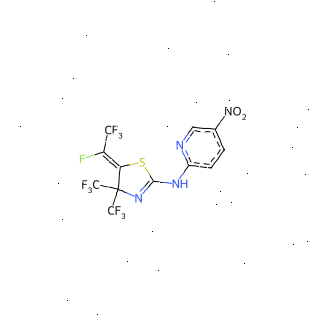 O=[N+]([O-])c1ccc(NC2=NC(C(F)(F)F)(C(F)(F)F)/C(=C(\F)C(F)(F)F)S2)nc1